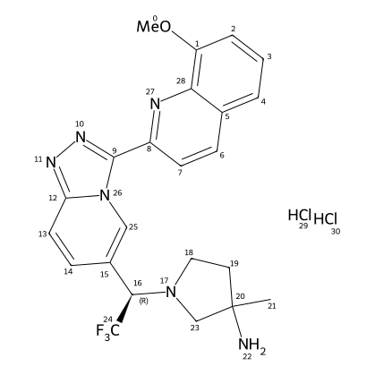 COc1cccc2ccc(-c3nnc4ccc([C@@H](N5CCC(C)(N)C5)C(F)(F)F)cn34)nc12.Cl.Cl